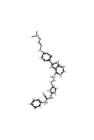 CN(C)CCCOc1ccc(-c2nc3c(NCCc4cnc(NC(=O)Nc5ccccc5)s4)ncnc3o2)cc1